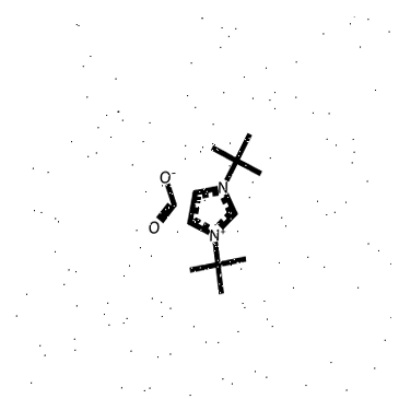 CC(C)(C)n1cc[n+](C(C)(C)C)c1.O=C[O-]